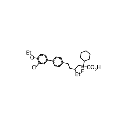 CCOc1ccc(-c2ccc(CCC(CC)C[C@@](F)(C(=O)O)C3CCCCC3)cc2)cc1Cl